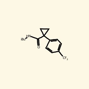 CCC(C)NC(=O)C1(c2ccc(C(F)(F)F)cc2)CC1